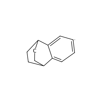 [c]1ccc2c(c1)C1CCC2CC1